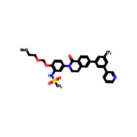 COCCOCOc1ccc(N2CCc3cc(-c4cc(-c5cccnc5)cc(C(F)(F)F)c4)ccc3C2=O)cc1NS(C)(=O)=O